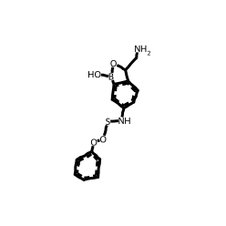 NCC1OB(O)c2cc(NSOOc3ccccc3)ccc21